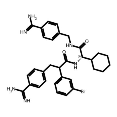 N=C(N)c1ccc(CNC(=O)[C@@H](NC(=O)C(Cc2ccc(C(=N)N)cc2)c2cccc(Br)c2)C2CCCCC2)cc1